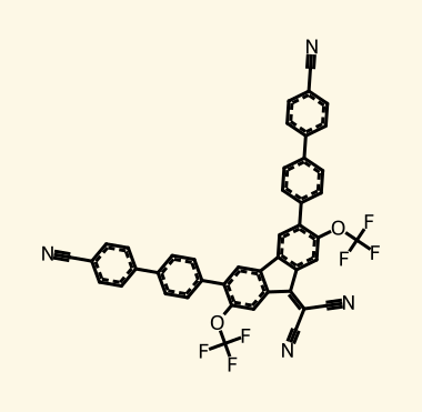 N#CC(C#N)=C1c2cc(OC(F)(F)F)c(-c3ccc(-c4ccc(C#N)cc4)cc3)cc2-c2cc(-c3ccc(-c4ccc(C#N)cc4)cc3)c(OC(F)(F)F)cc21